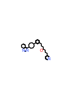 O=C(CCCc1cccnc1)CCCc1cccc(C2CCCC(c3ncnc4c3C=CCC4)CCC2)c1